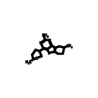 CN1CCN(c2nc(N)nc3c4c(sc23)CCC(C(F)(F)F)C4)CC1